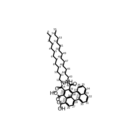 CCCCCCCCCCCCCNC(=O)c1c(C(=O)O)c2c(C(=O)O)ccc3c4cccc5cccc(c(c1C(=O)NCCCCCCCCCCCCC)c23)c54